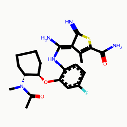 CC(=O)N(C)[C@@H]1CCCC[C@H]1Oc1cc(F)ccc1N/C(N)=C1/C(=N)SC(C(N)=O)=C1C